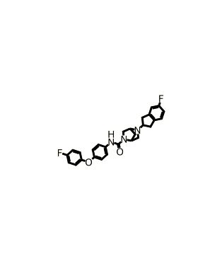 O=C(Nc1ccc(Oc2ccc(F)cc2)cc1)N1CC2CC1CN2C1Cc2ccc(F)cc2C1